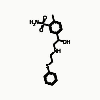 Cc1ccc(C(O)CNCCSc2ccccc2)cc1S(N)(=O)=O